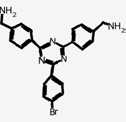 NCc1ccc(-c2nc(-c3ccc(Br)cc3)nc(-c3ccc(CN)cc3)n2)cc1